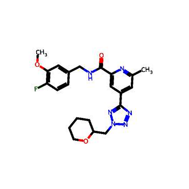 COc1cc(CNC(=O)c2cc(-c3nnn(CC4CCCCO4)n3)cc(C)n2)ccc1F